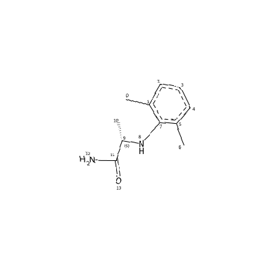 Cc1cccc(C)c1N[C@@H](C)C(N)=O